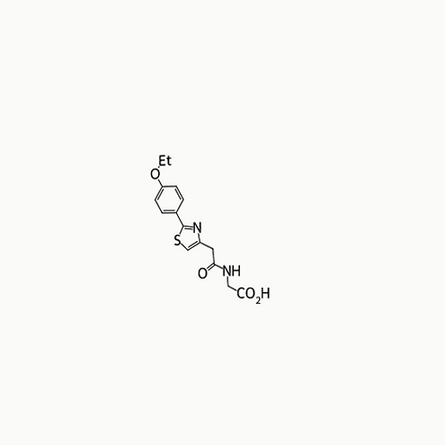 CCOc1ccc(-c2nc(CC(=O)NCC(=O)O)cs2)cc1